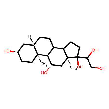 C[C@]12C[C@H](O)C3C(CC[C@@H]4C[C@H](O)CC[C@]34C)C1CC[C@]2(O)C(O)CO